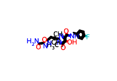 Cn1c(C(C)(C)Cc2nnc(C(N)=O)o2)nc(C(=O)NCc2ccc(F)cc2)c(O)c1=O